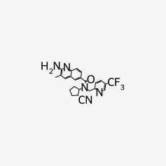 Cc1cc2cc(C(=O)N(Cc3ccc(C(F)(F)F)cn3)[C@@H]3CCC[C@H]3C#N)ccc2nc1N